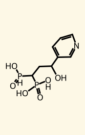 O=[PH](O)C(CC(O)c1cccnc1)P(=O)(O)O